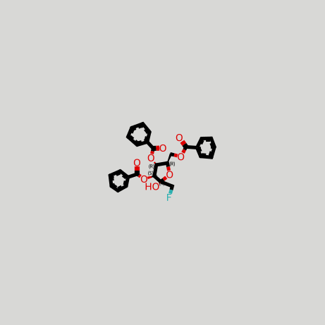 O=C(OC[C@H]1O[C@@](O)(CF)[C@@H](OC(=O)c2ccccc2)[C@@H]1OC(=O)c1ccccc1)c1ccccc1